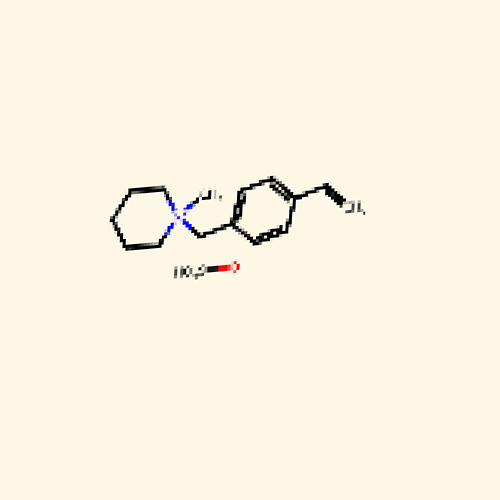 C=Cc1ccc(C[N+]2(C)CCCCC2)cc1.O=S(=O)([O-])O